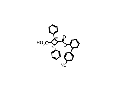 N#Cc1ccc(-c2ccccc2OC(=O)C2[C@H](c3ccccc3)C(C(=O)O)[C@H]2c2ccccc2)cc1